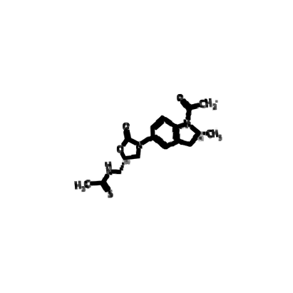 [CH2]C(=O)N1c2ccc(N3C[C@H](CNC(C)=S)OC3=O)cc2C[C@H]1C